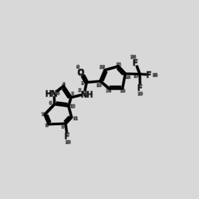 O=C(Nc1c[nH]c2ccc(F)cc12)c1ccc(C(F)(F)F)cc1